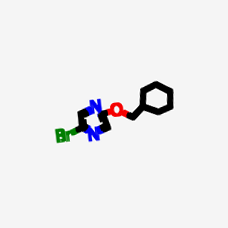 Brc1cnc(OCC2CCCCC2)cn1